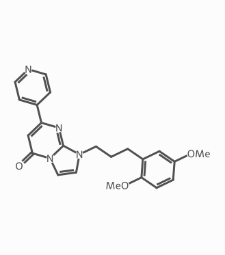 COc1ccc(OC)c(CCCn2ccn3c(=O)cc(-c4ccncc4)nc23)c1